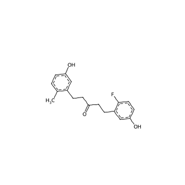 Cc1ccc(O)cc1CCC(=O)CCc1cc(O)ccc1F